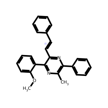 COc1ccccc1-c1nc(C)c(-c2ccccc2)nc1/C=C/c1ccccc1